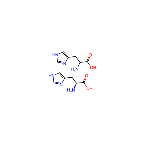 NC(Cc1c[nH]cn1)C(=O)O.N[C@@H](Cc1c[nH]cn1)C(=O)O